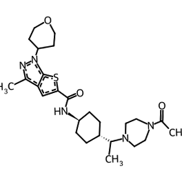 CC(=O)N1CCN(C(C)[C@H]2CC[C@H](NC(=O)c3cc4c(C)nn(C5CCOCC5)c4s3)CC2)CC1